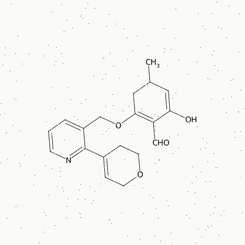 CC1C=C(O)C(C=O)=C(OCc2cccnc2C2=CCOCC2)C1